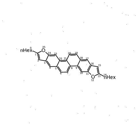 CCCCCCc1cc2cc3ccc4c5cc6oc(CCCCCC)cc6cc5ccc4c3cc2o1